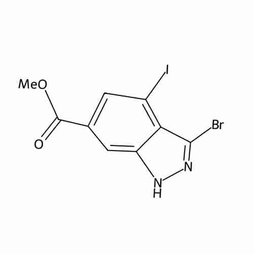 COC(=O)c1cc(I)c2c(Br)n[nH]c2c1